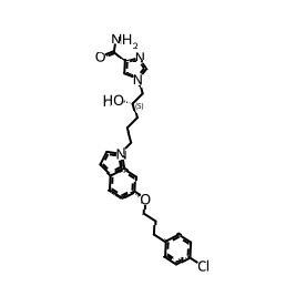 NC(=O)c1cn(C[C@@H](O)CCCn2ccc3ccc(OCCCc4ccc(Cl)cc4)cc32)cn1